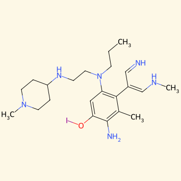 CCCN(CCNC1CCN(C)CC1)c1cc(OI)c(N)c(C)c1/C(C=N)=C/NC